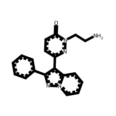 NCCn1nc(-c2c(-c3ccccc3)nn3ccccc23)ccc1=O